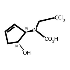 O=C(O)N(CC(Cl)(Cl)Cl)[C@@H]1C=CC[C@H]1O